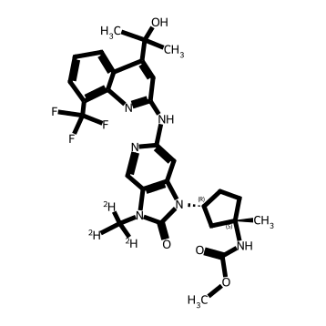 [2H]C([2H])([2H])n1c(=O)n([C@@H]2CC[C@](C)(NC(=O)OC)C2)c2cc(Nc3cc(C(C)(C)O)c4cccc(C(F)(F)F)c4n3)ncc21